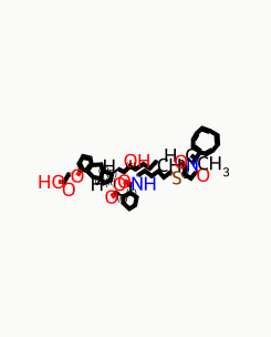 CCCCC[C@H](O)CC[C@@H]1[C@H]2Cc3cccc(OCC(=O)O)c3C[C@H]2C[C@H]1OC(=O)[C@@H]1CCCC[C@@H]1C(=O)NCCCCCCSC1CC(=O)N(C(C)(C)c2ccccccccc2)C1=O